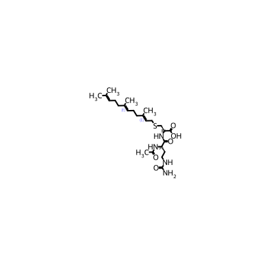 CC(=O)N[C@H](CCNC(N)=O)C(=O)N[C@@H](CSC/C=C(\C)CC/C=C(\C)CCC=C(C)C)C(=O)O